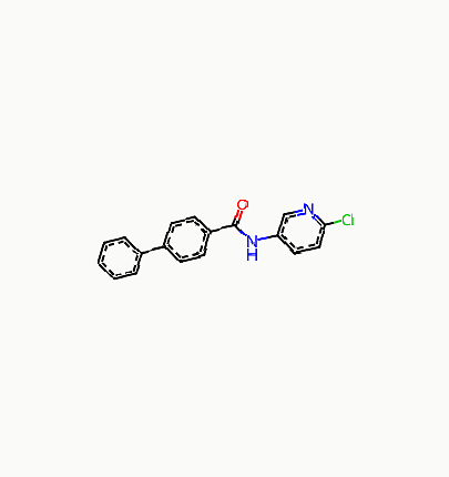 O=C(Nc1ccc(Cl)nc1)c1ccc(-c2ccccc2)cc1